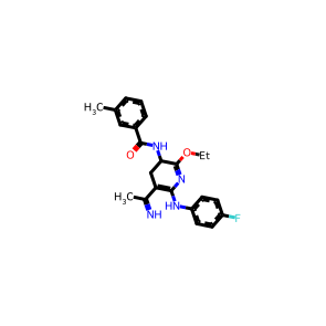 CCOC1=NC(Nc2ccc(F)cc2)=C(C(C)=N)CC1NC(=O)c1cccc(C)c1